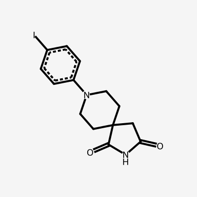 O=C1CC2(CCN(c3ccc(I)cc3)CC2)C(=O)N1